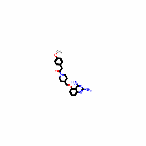 COc1ccc(CC(=O)N2CCC(COc3cccc4nc(N)nc(N)c34)CC2)cc1